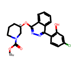 CC(C)(C)OC(=O)N1CCC[C@@H](Oc2nnc(-c3ccc(Cl)cc3O)c3ccccc23)C1